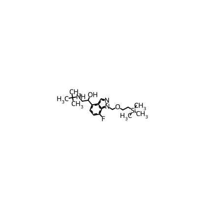 CC(C)(C)NCC(O)c1ccc(F)c2c1cnn2COCC[Si](C)(C)C